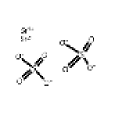 O=S(=O)([O-])[O-].O=S(=O)([O-])[O-].[Sr+2].[Sr+2]